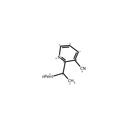 CCCCCC(C)c1ncccc1C#N